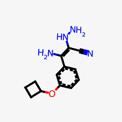 N#C/C(NN)=C(/N)c1cccc(OC2CCC2)c1